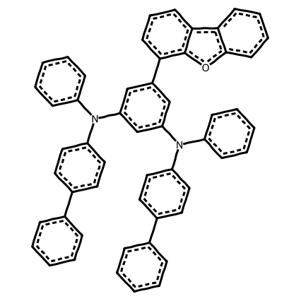 c1ccc(-c2ccc(N(c3ccccc3)c3cc(-c4cccc5c4oc4ccccc45)cc(N(c4ccccc4)c4ccc(-c5ccccc5)cc4)c3)cc2)cc1